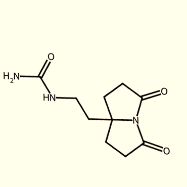 NC(=O)NCCC12CCC(=O)N1C(=O)CC2